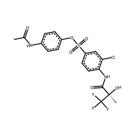 CC(=O)Nc1ccc(OS(=O)(=O)c2ccc(NC(=O)[C@@](C)(O)C(F)(F)F)c(Cl)c2)cc1